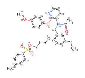 CCc1ccc(OCCCOS(=O)(=O)c2ccc(C)cc2)c(CN(C(C)=O)c2cccnc2Oc2ccc(OC)cc2)c1